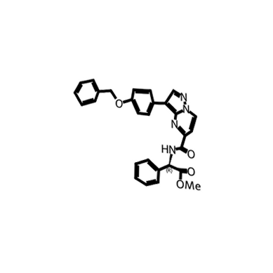 COC(=O)[C@H](NC(=O)c1ccn2ncc(-c3ccc(OCc4ccccc4)cc3)c2n1)c1ccccc1